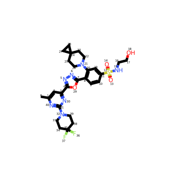 Cc1cc(-c2nnc(-c3ccc(S(=O)(=O)NCCO)cc3N3CCC4(CC3)CC4)o2)nc(N2CCC(F)(F)CC2)n1